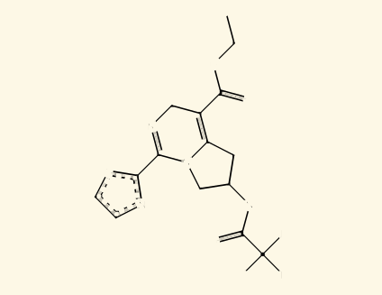 CCOC(=O)C1=C2CC(NC(=O)C(F)(F)F)CN2C(c2nccs2)=NC1